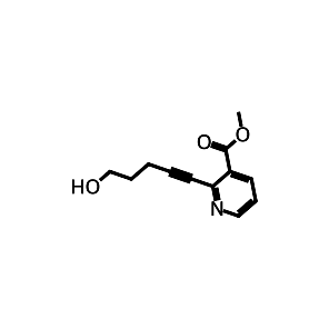 COC(=O)c1cccnc1C#CCCCO